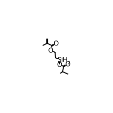 C=C(C)C(=O)OCC[SiH2]OC(=O)C(C)C